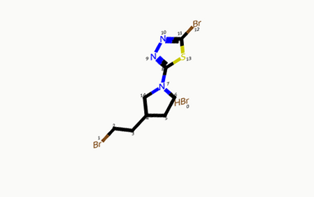 Br.BrCCC1CCN(c2nnc(Br)s2)C1